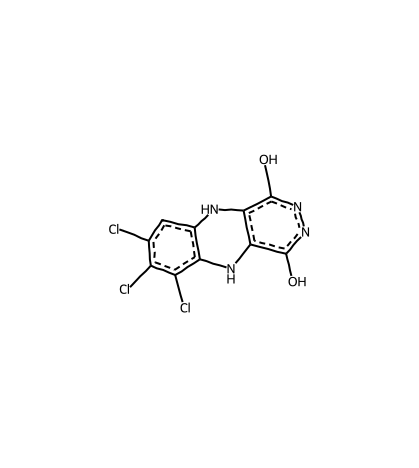 Oc1nnc(O)c2c1Nc1cc(Cl)c(Cl)c(Cl)c1N2